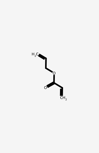 C=CCOC(=O)C=C